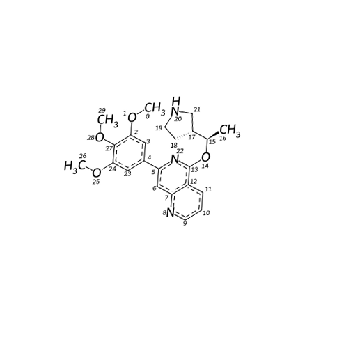 COc1cc(-c2cc3ncccc3c(O[C@H](C)[C@@H]3CCNC3)n2)cc(OC)c1OC